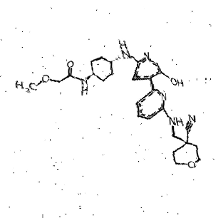 COCC(=O)N[C@H]1CC[C@H](Nc2cc(-c3cccc(NCC4(C#N)CCOCC4)n3)c(O)cn2)CC1